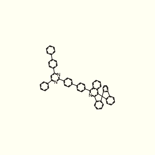 c1ccc(-c2ccc(-c3cc(-c4ccccc4)nc(-c4ccc(-c5ccc(-c6nc7c(c8ccccc68)C6(c8ccccc8-c8ccccc86)c6ccccc6-7)cc5)cc4)n3)cc2)cc1